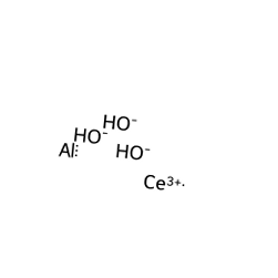 [Al].[Ce+3].[OH-].[OH-].[OH-]